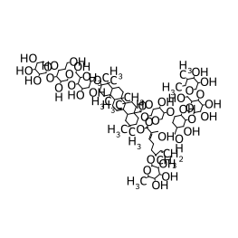 C=CC(C)(CC/C=C(\CO)C(=O)OC1CC2(C(=O)OC3OCC(OC4CC(CO)C(O)C(OC5OC(CO)C(OC6OC(C)C(C)C(O)C6O)C(O)C5O)C4O)C(O)C3O)CCC3(C)C(=CCC4C5(C)CCC(OC6OC(CO)C(OC7OC(CO)C(O)C(OC8OCC(O)C(O)C8O)C7O)C(O)C6O)C(C)(C)C5CCC43C)C2CC1(C)C)OC1OC(C)C(O)C(O)C1O